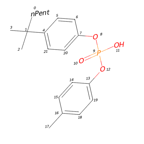 CCCCCC(C)(C)c1ccc(OP(=O)(O)Oc2ccc(C)cc2)cc1